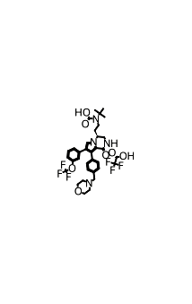 CC(C)(C)N(CC[C@H]1CNC(=O)c2c(-c3ccc(CN4CCOCC4)cc3)c(-c3cccc(OC(F)(F)F)c3)cn21)C(=O)O.O=C(O)C(F)(F)F